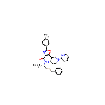 O=C(N[C@@H](CSCc1ccccc1)C(=O)O)c1nc(-c2ccc(C(F)(F)F)cc2)oc1C1CCCN(c2ccccn2)C1